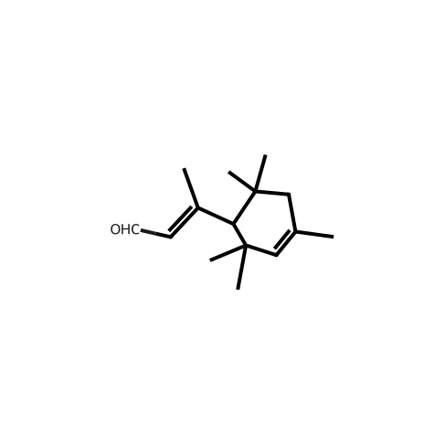 CC1=CC(C)(C)C(C(C)=CC=O)C(C)(C)C1